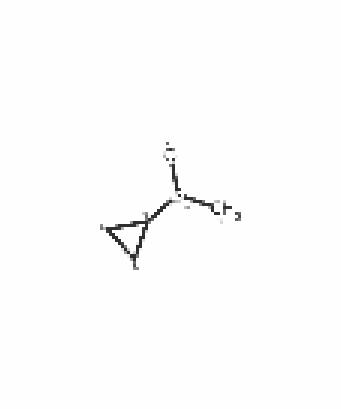 C[S+]([O-])C1CC1